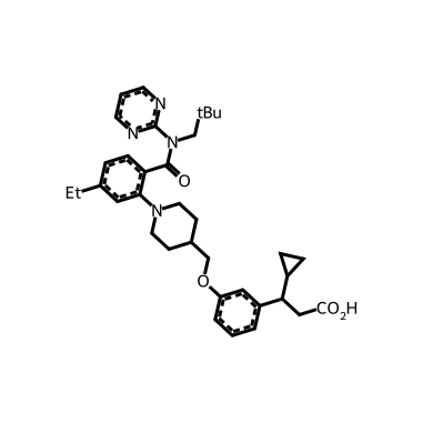 CCc1ccc(C(=O)N(CC(C)(C)C)c2ncccn2)c(N2CCC(COc3cccc(C(CC(=O)O)C4CC4)c3)CC2)c1